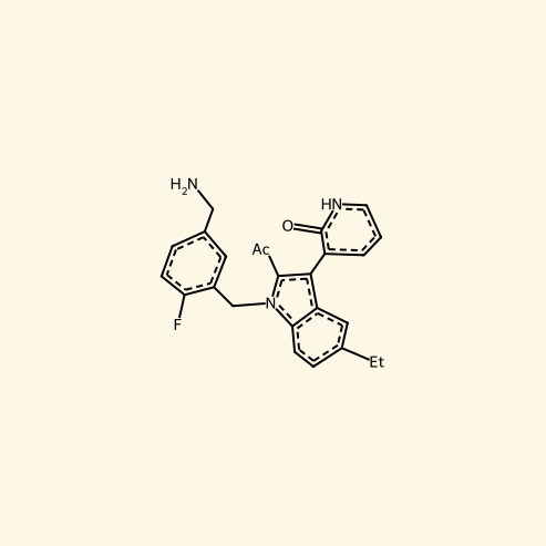 CCc1ccc2c(c1)c(-c1ccc[nH]c1=O)c(C(C)=O)n2Cc1cc(CN)ccc1F